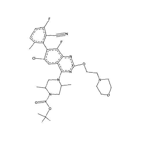 Cc1ccc(F)c(C#N)c1-c1c(Cl)cc2c(N3CC(C)N(C(=O)OC(C)(C)C)CC3C)nc(OCCN3CCOCC3)nc2c1F